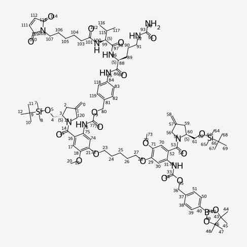 C=C1C[C@@H](CO[Si](C)(C)C(C)(C)C)N(C(=O)c2cc(OC)c(OCCCCCOc3cc(NC(=O)OCc4ccc(B5OC(C)(C)C(C)(C)O5)cc4)c(C(=O)N4CC(=C)C[C@H]4CO[Si](C)(C)C(C)(C)C)cc3OC)cc2NC(=O)OCc2ccc(NC(=O)[C@H](CCCNC(N)=O)NC(=O)[C@@H](NC(=O)CCCCCN3C(=O)C=CC3=O)C(C)C)cc2)C1